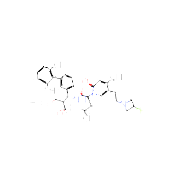 COCC(C=O)[C@H](NC(=O)C(CC(C)C)n1cc(CCN2CC(F)C2)c(C)cc1=O)c1cccc(-c2c(C)cccc2C)c1